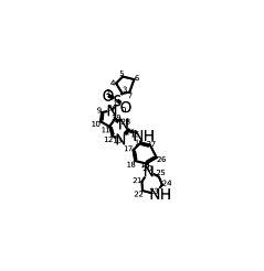 O=S(=O)(C1CCCC1)n1ccc2cnc(Nc3ccc(N4CCNCC4)cc3)nc21